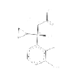 C[C@H](C(=O)O)[C@](C)(c1cccc(O)c1F)C1CC1